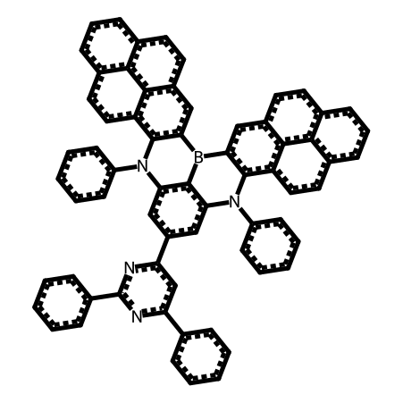 c1ccc(-c2cc(-c3cc4c5c(c3)N(c3ccccc3)c3c(cc6ccc7cccc8ccc3c6c78)B5c3cc5ccc6cccc7ccc(c3N4c3ccccc3)c5c67)nc(-c3ccccc3)n2)cc1